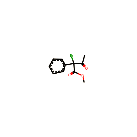 COC(=O)C(Br)(C(C)=O)c1ccccc1